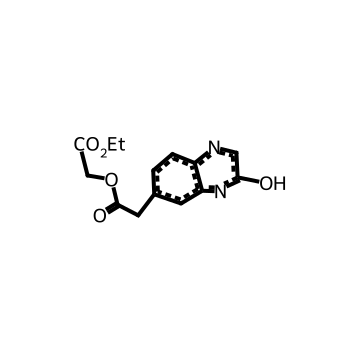 CCOC(=O)COC(=O)Cc1ccc2ncc(O)nc2c1